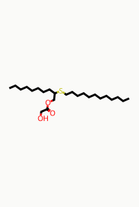 CCCCCCCCCCCCSC(CCCCCCCC)COC(=O)CO